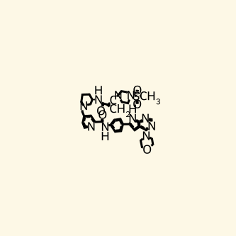 C=C(CN1CCN(S(C)(=O)=O)CC1)C(=O)N[C@@H]1CCCN(Cc2ccnc(C(=O)Nc3ccc(-c4cc5c(N6CCOCC6)ncnc5[nH]4)cc3)c2)C1